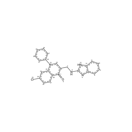 O=c1c(CNc2nc3ccccc3[nH]2)cn(-c2ccccc2)c2cc(Cl)ccc12